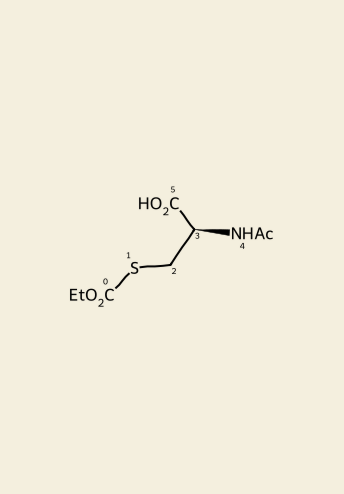 CCOC(=O)SC[C@H](NC(C)=O)C(=O)O